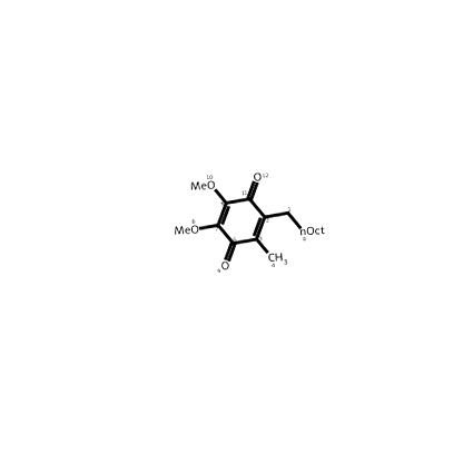 CCCCCCCCCC1=C(C)C(=O)C(OC)=C(OC)C1=O